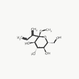 C=CC(=C)[C@]1(OC)O[C@H](CO)[C@@H](O)[C@H](O)[C@H]1O